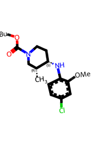 COc1cc(Cl)ccc1N[C@H]1CCN(C(=O)OC(C)(C)C)C[C@H]1C